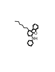 CCCCCCc1ccc(Nc2ccccc2)c2oc3ccccc3c12